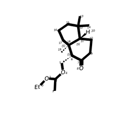 CCOC(C)OC[C@H]1C(=O)CC[C@H]2C(C)(C)CCC[C@]12C